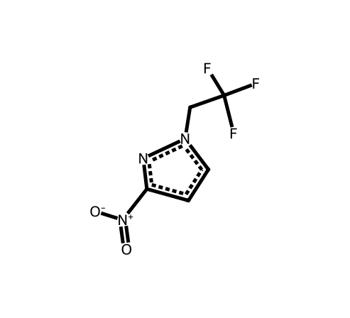 O=[N+]([O-])c1ccn(CC(F)(F)F)n1